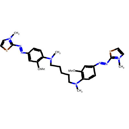 COc1cc(/N=N/c2scc[n+]2C)ccc1N(C)CCCCCN(C)c1ccc(/N=N/c2scc[n+]2C)cc1OC